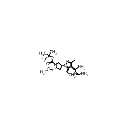 C\C=c1/c(=C(N)\N=C/N)c(I)nn1[C@H]1C[C@H](COC)N(C(=O)OC(C)(C)C)C1